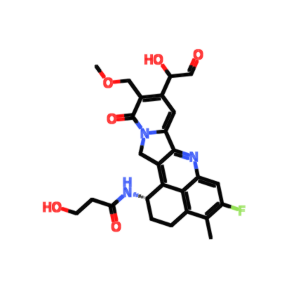 COCc1c(C(O)C=O)cc2n(c1=O)Cc1c-2nc2cc(F)c(C)c3c2c1[C@@H](NC(=O)CCO)CC3